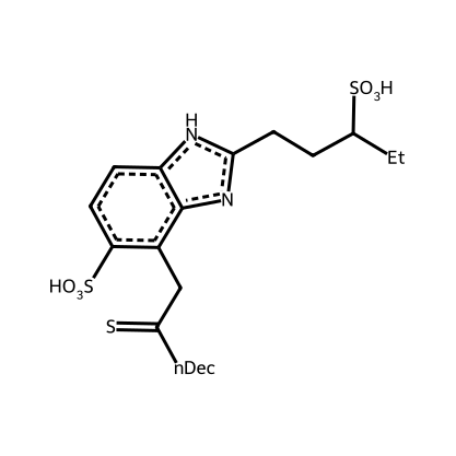 CCCCCCCCCCC(=S)Cc1c(S(=O)(=O)O)ccc2[nH]c(CCC(CC)S(=O)(=O)O)nc12